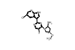 NO[C@@H]1CC(N)N(c2nc(-c3c[nH]c4ncc(Cl)cc34)ncc2F)C1